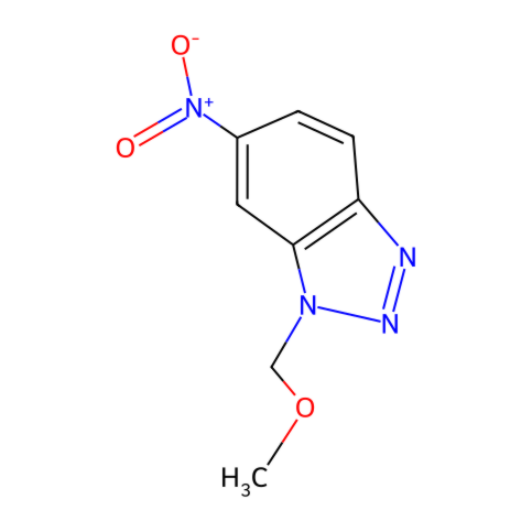 COCn1nnc2ccc([N+](=O)[O-])cc21